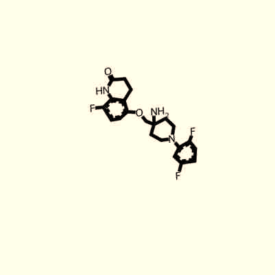 NC1(COc2ccc(F)c3c2CCC(=O)N3)CCN(c2cc(F)ccc2F)CC1